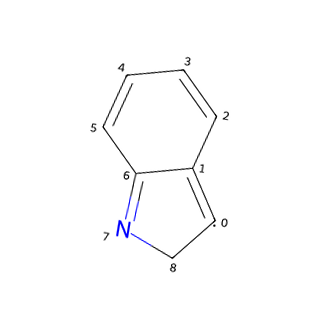 [C]1=c2ccccc2=NC1